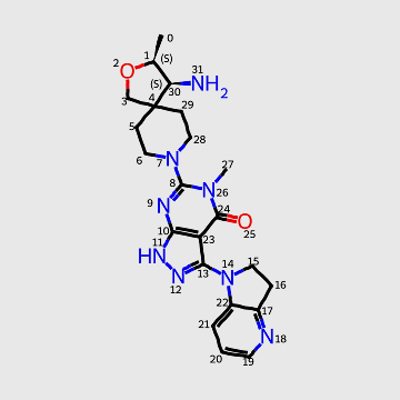 C[C@@H]1OCC2(CCN(c3nc4[nH]nc(N5CCc6ncccc65)c4c(=O)n3C)CC2)[C@@H]1N